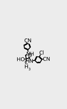 C[C@](O)(CNc1ccc(C#N)cc1)C(=O)Nc1ccc(C#N)c(Cl)c1